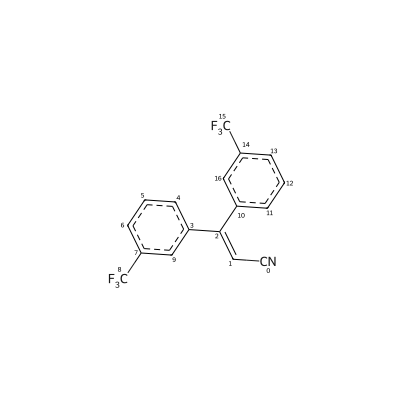 N#CC=C(c1cccc(C(F)(F)F)c1)c1cccc(C(F)(F)F)c1